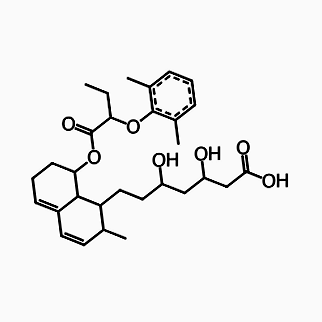 CCC(Oc1c(C)cccc1C)C(=O)OC1CCC=C2C=CC(C)C(CCC(O)CC(O)CC(=O)O)C21